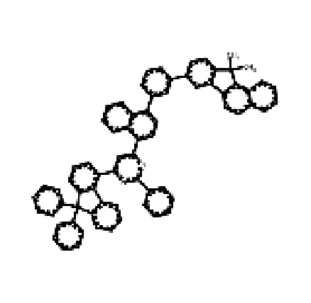 CC1(C)c2ccc(-c3cccc(-c4ccc(-c5cc(-c6cccc7c6-c6ccccc6C7(c6ccccc6)c6ccccc6)nc(-c6ccccc6)n5)c5ccccc45)c3)cc2-c2ccc3ccccc3c21